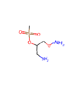 CS(=O)(=O)OC(CN)CON